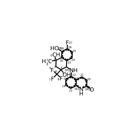 CC1(C)CC(O)(C(F)(F)F)C(Nc2cccc3[nH]c(=O)ccc23)c2ccc(F)c(O)c21